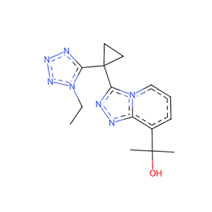 CCn1nnnc1C1(c2nnc3c(C(C)(C)O)cccn23)CC1